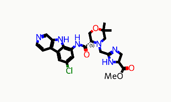 COC(=O)C1CN=C(CN2CC(C)(C)OC[C@H]2C(=O)Nc2cc(Cl)cc3c2[nH]c2cnccc23)N1